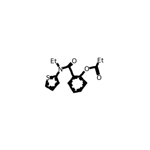 CCC(=O)Oc1ccccc1C(=O)N(CC)c1cccs1